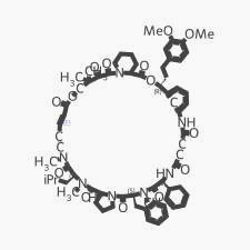 COc1ccc(CC[C@H]2OC(=O)C3CCCCN3C(=O)C(=O)C(C)(C)COC(=O)/C=C/CCN(C)C(=O)[C@H](CC(C)C)N(C)C(=O)[C@H]3CCCN3C(=O)[C@H](Cc3ccccc3)N(C)C(=O)[C@H](C3C=CC=CC3)NC(=O)CCC(=O)Nc3cccc2c3)cc1OC